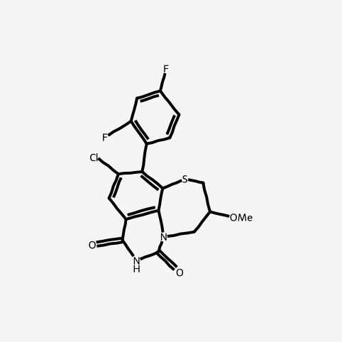 COC1CSc2c(-c3ccc(F)cc3F)c(Cl)cc3c(=O)[nH]c(=O)n(c23)C1